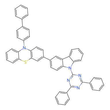 c1ccc(-c2ccc(N3c4ccccc4Sc4cc(-c5ccc6c(c5)c5ccccc5n6-c5nc(-c6ccccc6)nc(-c6ccccc6)n5)ccc43)cc2)cc1